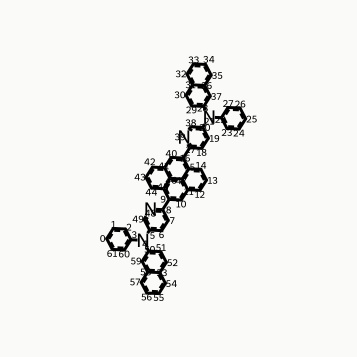 c1ccc(N(c2ccc(-c3cc4cccc5c(-c6ccc(N(c7ccccc7)c7ccc8ccccc8c7)cn6)cc6cccc3c6c45)nc2)c2ccc3ccccc3c2)cc1